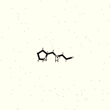 CCCNCC1CCC[N]1